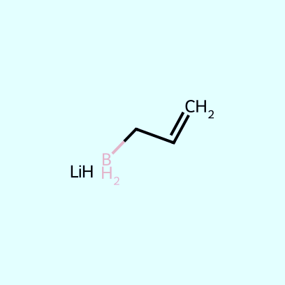 BCC=C.[LiH]